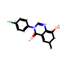 CC1C=c2c(ncn(-c3ccc(F)cc3)c2=O)=C(O)C1